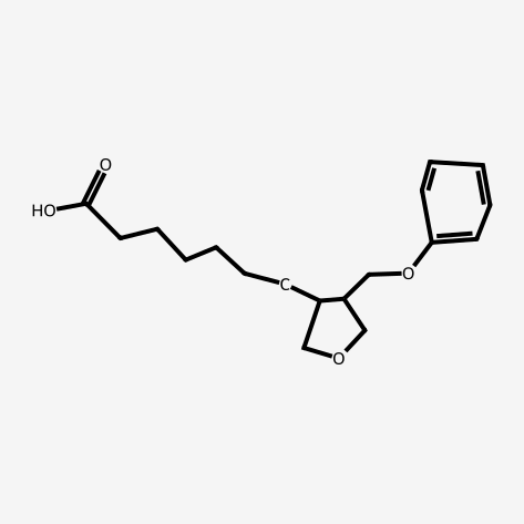 O=C(O)CCCCCCC1COCC1COc1ccccc1